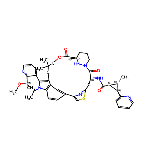 CCn1c(-c2cccnc2[C@H](C)OC)c2c3cc(ccc31)-c1csc(n1)C[C@H](NC(=O)[C@@H]1[C@H](C)[C@H]1c1ccccn1)C(=O)N1CCC[C@H](N1)C(=O)OCC(C)(C)C2